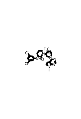 O=C1C(Nc2cc(Cl)cc(Cl)c2)CCCN1[C@H]1CN(c2ncnc3[nH]ccc23)CC[C@@H]1C(F)(F)F